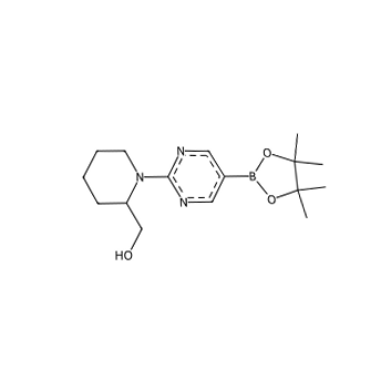 CC1(C)OB(c2cnc(N3CCCCC3CO)nc2)OC1(C)C